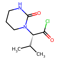 CC(C)[C@@H](C(=O)Cl)N1CCCNC1=O